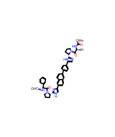 COC(=O)N[C@H](C(=O)N1CCC[C@H]1c1ncc(-c2ccc(-c3ccc4cc(-c5c[nH]c([C@@H]6CCCN6C(=O)[C@H](NC=O)c6ccccc6)n5)ccc4c3)cc2)[nH]1)C(C)C